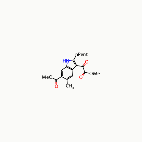 CCCCCc1[nH]c2cc(C(=O)OC)c(C)cc2c1C(=O)C(=O)OC